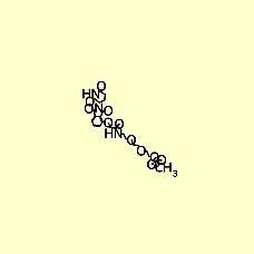 CS(=O)(=O)OCCOCCOCCNC(=O)COc1cccc2c1C(=O)N(C1CCC(=O)NC1=O)C2=O